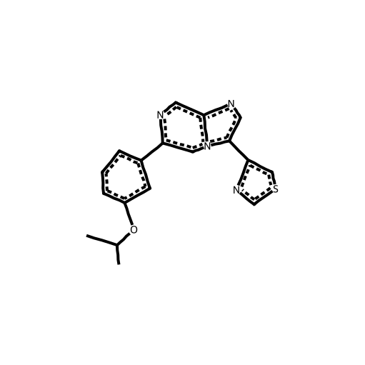 CC(C)Oc1cccc(-c2cn3c(-c4cscn4)cnc3cn2)c1